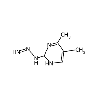 CC1=CNC(NN=N)N=C1C